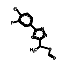 CC(OC=O)c1nnc(-c2ccc(Cl)c(F)c2)o1